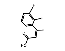 C/C(=C/C(=O)O)c1cccc(F)c1F